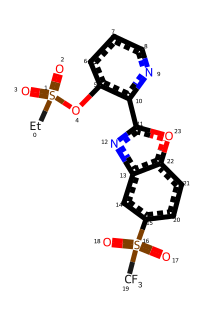 CCS(=O)(=O)Oc1cccnc1-c1nc2cc(S(=O)(=O)C(F)(F)F)ccc2o1